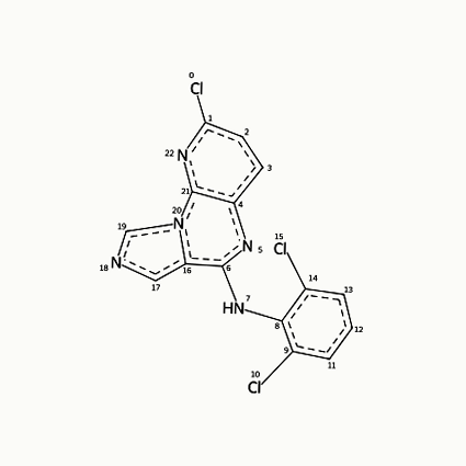 Clc1ccc2nc(Nc3c(Cl)cccc3Cl)c3cncn3c2n1